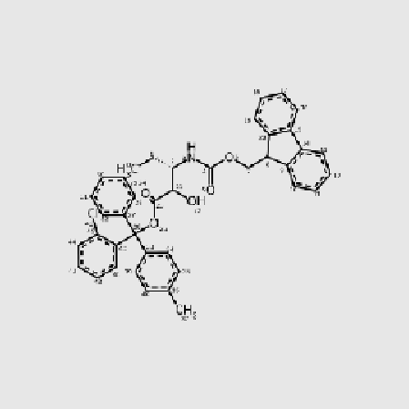 CC[C@H](NC(=O)OCC1c2ccccc2-c2ccccc21)C(O)C(=O)OC(c1ccccc1)(c1ccc(C)cc1)c1ccccc1Cl